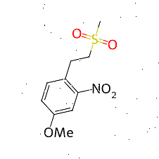 COc1ccc(CCS(C)(=O)=O)c([N+](=O)[O-])c1